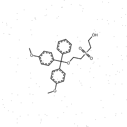 COc1ccc(C(OCCS(=O)(=O)CCO)(c2ccccc2)c2ccc(OC)cc2)cc1